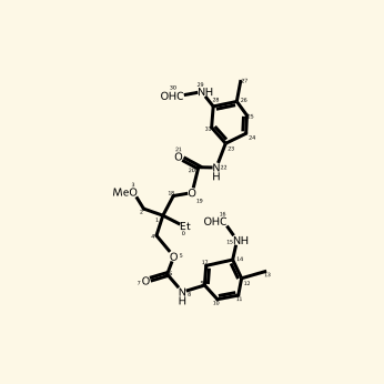 CCC(COC)(COC(=O)Nc1ccc(C)c(NC=O)c1)COC(=O)Nc1ccc(C)c(NC=O)c1